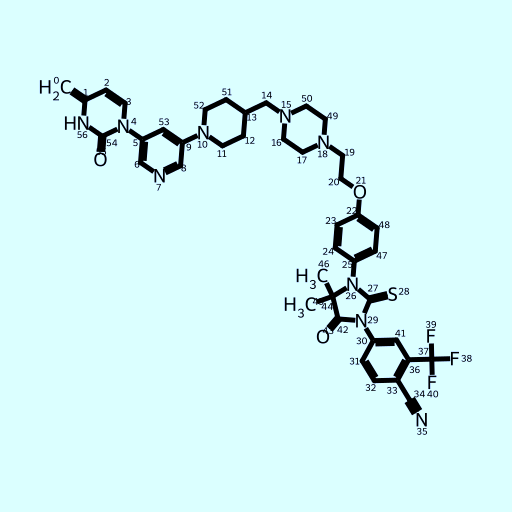 C=C1C=CN(c2cncc(N3CCC(CN4CCN(CCOc5ccc(N6C(=S)N(c7ccc(C#N)c(C(F)(F)F)c7)C(=O)C6(C)C)cc5)CC4)CC3)c2)C(=O)N1